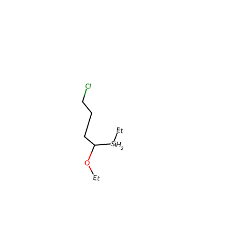 CCOC(CCCCl)[SiH2]CC